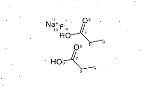 CCC(=O)O.CCC(=O)O.[F-].[Na+]